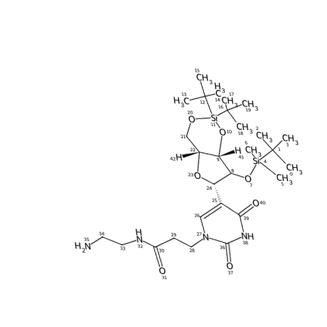 CC(C)(C)[Si](C)(C)OC1[C@H]2O[Si](C(C)(C)C)(C(C)(C)C)OC[C@H]2O[C@H]1c1cn(CCC(=O)NCCN)c(=O)[nH]c1=O